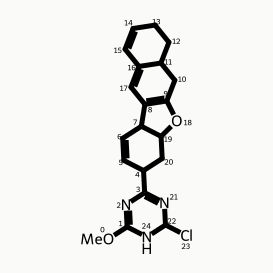 COC1=NC(C2C=CC3C4=C(CC5CCC=CC5=C4)OC3C2)=NC(Cl)N1